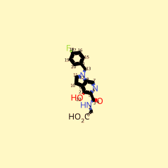 O=C(O)CNC(=O)c1ncc2c(ccn2Cc2ccc(F)cc2)c1O